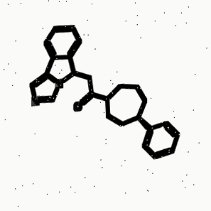 O=C(CC1c2ccccc2-c2cncn21)C1CCC[C@@H](c2ccccc2)CC1